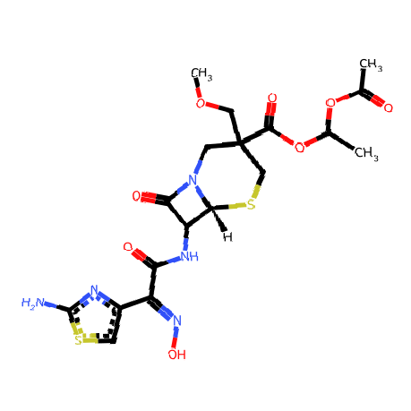 COCC1(C(=O)OC(C)OC(C)=O)CS[C@@H]2C(NC(=O)C(=NO)c3csc(N)n3)C(=O)N2C1